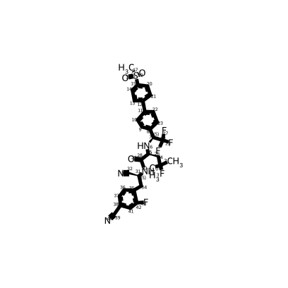 CC(C)(F)C[C@H](N[C@@H](c1ccc(-c2ccc(S(C)(=O)=O)cc2)cc1)C(F)(F)F)C(=O)N[C@H](C#N)Cc1ccc(C#N)cc1F